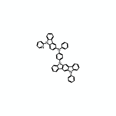 c1ccc(N(c2ccc(-n3c4ccccc4c4cc5c(cc43)c3ccccc3n5-c3ccccc3)cc2)c2ccc3c(c2)c2ccccc2n3-c2ccccn2)cc1